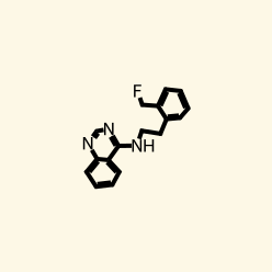 FCc1ccccc1CCNc1ncnc2ccccc12